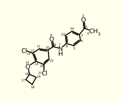 CC(=O)c1ccc(NC(=O)c2cc(Cl)c(OC3CCC3)c(Cl)c2)cc1